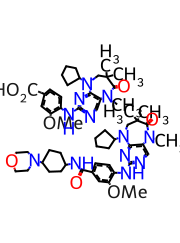 COc1cc(C(=O)NC2CCC(N3CCOCC3)CC2)ccc1Nc1ncc2c(n1)N(C1CCCC1)CC(C)(C)C(=O)N2C.COc1cc(C(=O)O)ccc1Nc1ncc2c(n1)N(C1CCCC1)CC(C)(C)C(=O)N2C